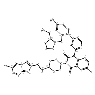 O=c1c2cc(F)cnc2n(-c2cccc(-c3ccc(O)cc3CN3CCC[C@H]3CO)c2)c(=O)n1C1CCC(NCc2cn3cc(F)ccc3n2)CC1